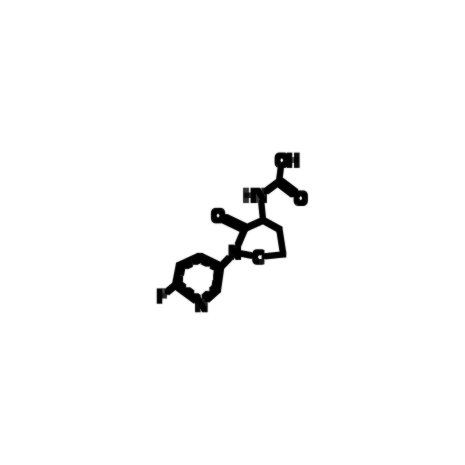 O=C(O)NC1CCCN(c2ccc(F)nc2)C1=O